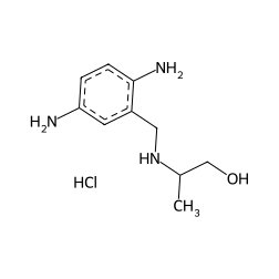 CC(CO)NCc1cc(N)ccc1N.Cl